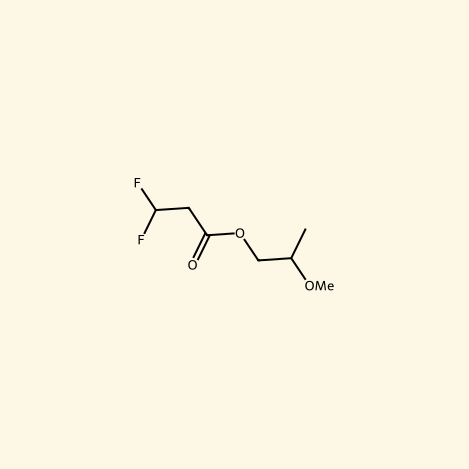 COC(C)COC(=O)CC(F)F